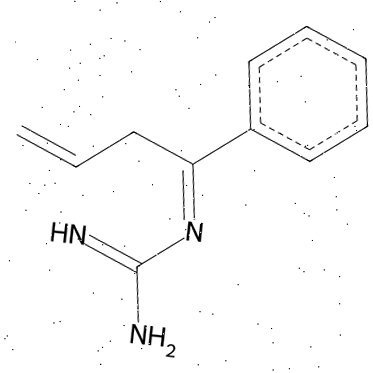 C=CCC(=NC(=N)N)c1ccccc1